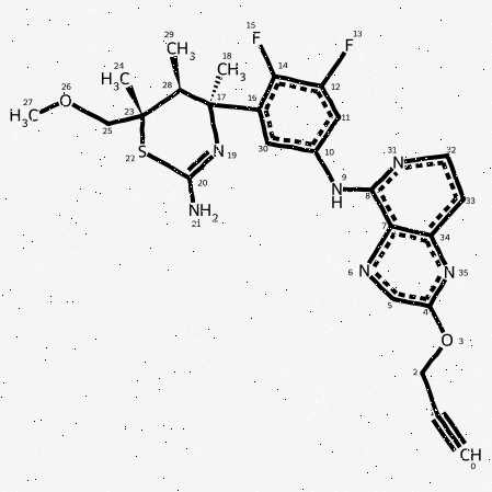 C#CCOc1cnc2c(Nc3cc(F)c(F)c([C@@]4(C)N=C(N)S[C@](C)(COC)[C@H]4C)c3)nccc2n1